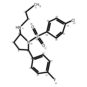 CCCNC1CCC(c2ccc(F)cc2)N1S(=O)(=O)c1ccc(Cl)cc1